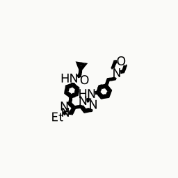 CCn1cc(-c2ccnc(Nc3cccc(CCN4CCOCC4)c3)n2)c(-c2ccc(NC(=O)C3CC3)cc2)n1